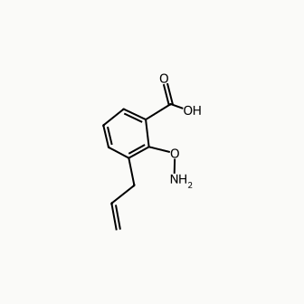 C=CCc1cccc(C(=O)O)c1ON